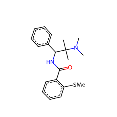 CSc1ccccc1C(=O)NC(c1ccccc1)C(C)(C)N(C)C